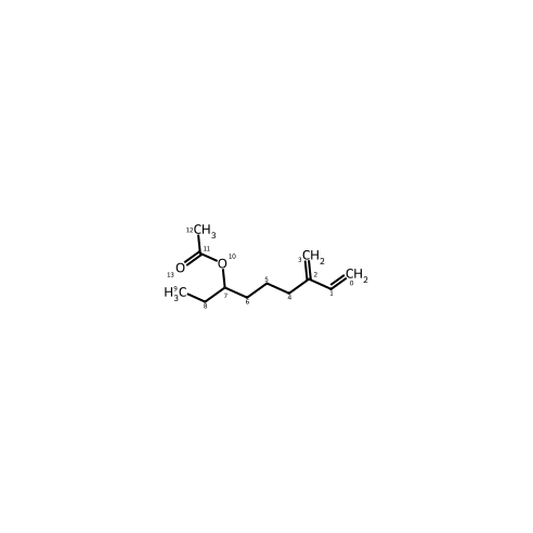 C=CC(=C)CCCC(CC)OC(C)=O